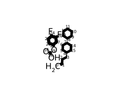 C=CCC[C@H]1CC[C@H](C2CCCCC2)CC1.O=C(O)Oc1ccc(F)c(F)c1